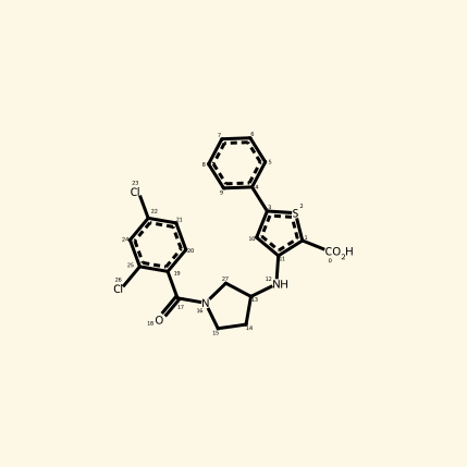 O=C(O)c1sc(-c2ccccc2)cc1NC1CCN(C(=O)c2ccc(Cl)cc2Cl)C1